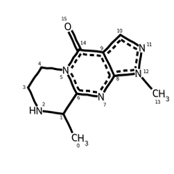 CC1NCCn2c1nc1c(cnn1C)c2=O